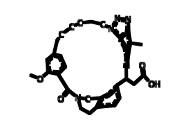 COc1cc2ccc1C(=O)N1CCc3ccc(cc3C1)C(CC(=O)O)c1ccc3c(nnn3CCCCCC2)c1C